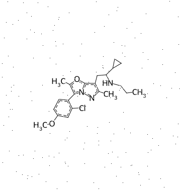 CCCNC(Cc1c(C)nn2c(-c3ccc(OC)cc3Cl)c(C)oc12)C1CC1